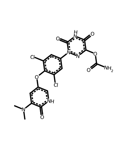 CN(C)c1cc(Oc2c(Cl)cc(-n3nc(OC(N)=O)c(=O)[nH]c3=O)cc2Cl)c[nH]c1=O